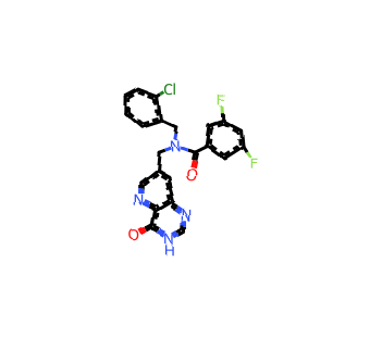 O=C(c1cc(F)cc(F)c1)N(Cc1cnc2c(=O)[nH]cnc2c1)Cc1ccccc1Cl